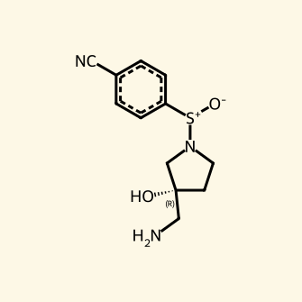 N#Cc1ccc([S+]([O-])N2CC[C@@](O)(CN)C2)cc1